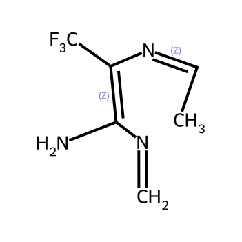 C=N/C(N)=C(\N=C/C)C(F)(F)F